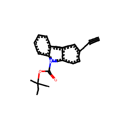 C#Cc1ccc2c(c1)c1ccccc1n2C(=O)OC(C)(C)C